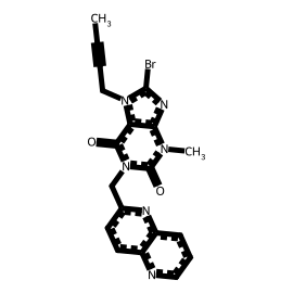 CC#CCn1c(Br)nc2c1c(=O)n(Cc1ccc3ncccc3n1)c(=O)n2C